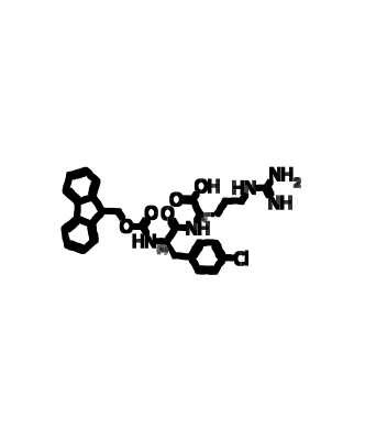 N=C(N)NCCC[C@H](NC(=O)[C@@H](Cc1ccc(Cl)cc1)NC(=O)OCC1c2ccccc2-c2ccccc21)C(=O)O